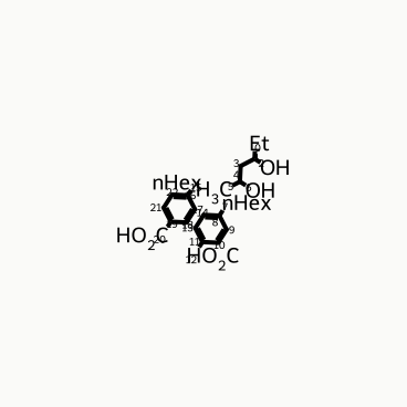 CCC(O)CC(C)O.CCCCCCc1ccc(C(=O)O)cc1.CCCCCCc1ccc(C(=O)O)cc1